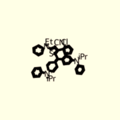 CCN(c1ccccc1)c1sc(C(=C2C=CC(=[N+](c3ccccc3)C(C)C)C=C2)c2ccc(N(c3ccccc3)C(C)C)cc2)c(-c2ccccc2Cl)c1C#N